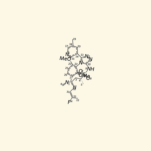 C=N/C(C[C@@H](C)S(=O)(=O)Nc1nnc(-c2cncc(C)c2)n1-c1c(OC)cccc1OC)=N\C=C(/C)F